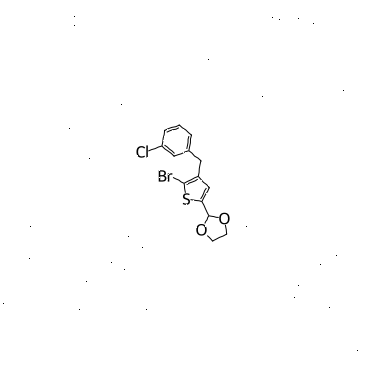 Clc1cccc(Cc2cc(C3OCCO3)sc2Br)c1